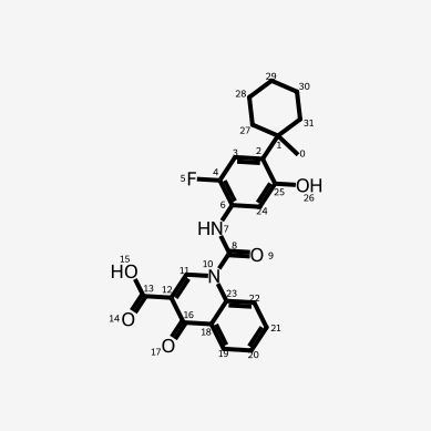 CC1(c2cc(F)c(NC(=O)n3cc(C(=O)O)c(=O)c4ccccc43)cc2O)CCCCC1